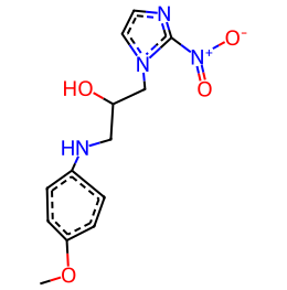 COc1ccc(NCC(O)Cn2ccnc2[N+](=O)[O-])cc1